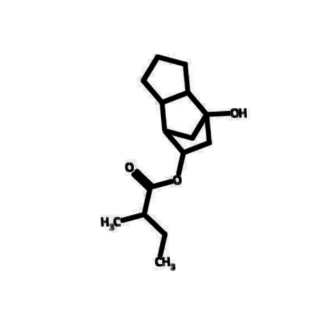 CCC(C)C(=O)OC1CC2(O)CC1C1CCCC12